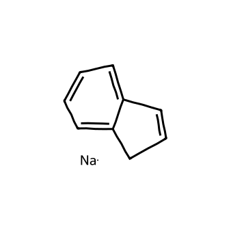 C1=Cc2ccccc2C1.[Na]